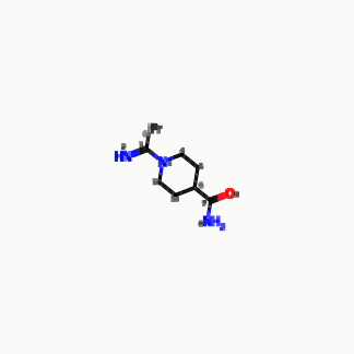 CC(C)C(=N)N1CCC(C(N)=O)CC1